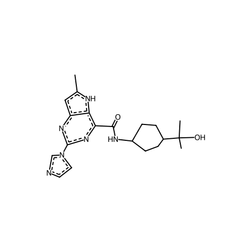 Cc1cc2nc(-n3ccnc3)nc(C(=O)NC3CCC(C(C)(C)O)CC3)c2[nH]1